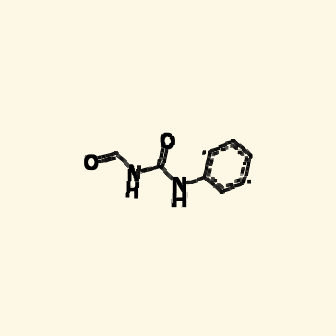 O=CNC(=O)Nc1[c]cc[c]c1